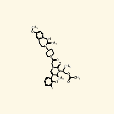 C=C1Nc2ccc(OC)cc2CCN1C1CCN(C(=O)CN2C=C(c3cccc(F)c3Cl)C(=C)N(C(C)COC(C)=O)C2=O)CC1